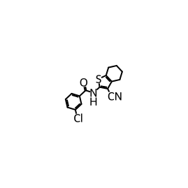 N#Cc1c(NC(=O)c2cccc(Cl)c2)sc2c1CCCC2